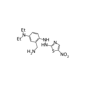 CCN(CC)c1ccc(NNc2ncc([N+](=O)[O-])s2)c(CN)c1